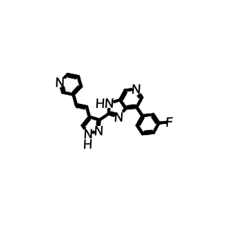 Fc1cccc(-c2cncc3[nH]c(-c4n[nH]cc4C=Cc4cccnc4)nc23)c1